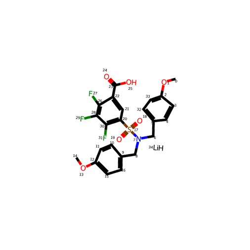 COc1ccc(CN(Cc2ccc(OC)cc2)S(=O)(=O)c2cc(C(=O)O)c(F)c(F)c2F)cc1.[LiH]